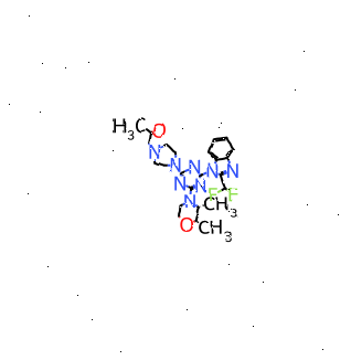 CC(=O)CN1CCN(c2nc(N3CCO[C@@H](C)[C@H]3C)nc(-n3c(C(F)F)nc4ccccc43)n2)CC1